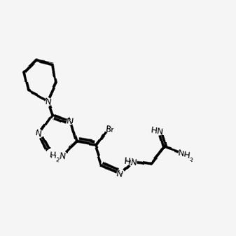 C=N\C(=N/C(N)=C(Br)/C=N\NCC(=N)N)N1CCCCC1